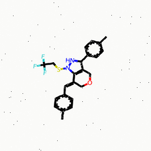 Cc1ccc(C=C2COCC3=C2N(SCC(F)(F)F)NC3c2ccc(C)cc2)cc1